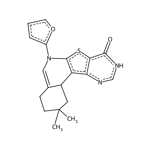 CC1(C)CCC2=CN(c3ccco3)c3sc4c(=O)[nH]cnc4c3C2C1